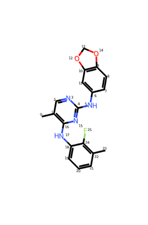 Cc1cnc(Nc2ccc3c(c2)OCO3)nc1Nc1cccc(C)c1F